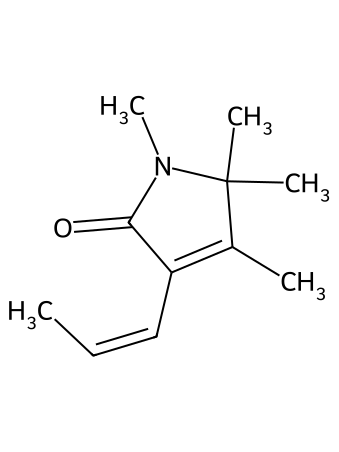 C/C=C\C1=C(C)C(C)(C)N(C)C1=O